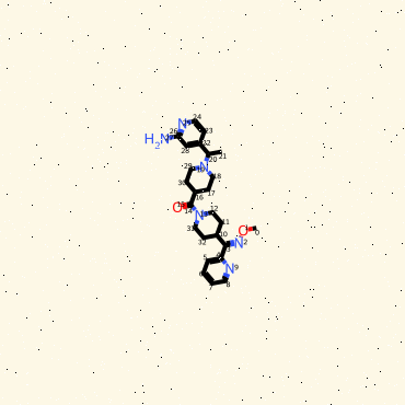 CO/N=C(/c1ccccn1)C1CCN(C(=O)C2CCN(C(C)c3ccnc(N)c3)CC2)CC1